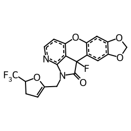 O=C1N(CC2=CCC(C(F)(F)F)O2)c2nccc3c2C1(F)c1cc2c(cc1O3)OCO2